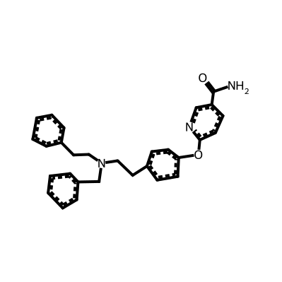 NC(=O)c1ccc(Oc2ccc(CCN(CCc3ccccc3)Cc3ccccc3)cc2)nc1